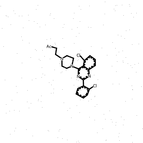 CC(=O)CCN1CCN(c2nc(-c3ccccc3Cl)nc3cccc(Cl)c23)CC1